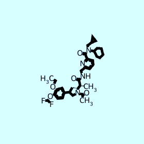 CCOc1cc(C2C[C@H]([C@@H](C)C(=O)NCc3cccc(C(=O)N(CC4CC4)C4CCCCC4)n3)N(C(C)=O)C2)ccc1OC(F)F